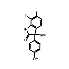 CCCCC1(c2ccc(O)cc2)C(=O)Nc2c1ccc(F)c2F